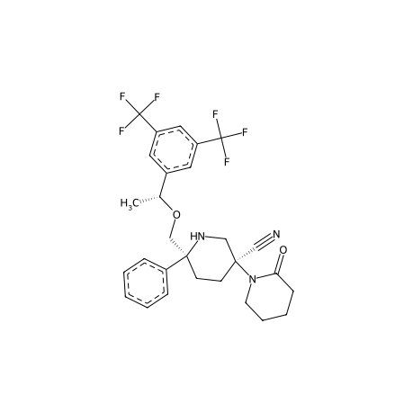 C[C@@H](OC[C@@]1(c2ccccc2)CC[C@](C#N)(N2CCCCC2=O)CN1)c1cc(C(F)(F)F)cc(C(F)(F)F)c1